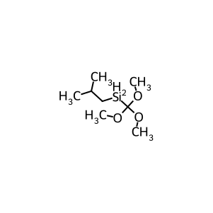 COC(OC)(OC)[SiH2]CC(C)C